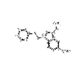 COc1ccc2c(c1)c(CN)cn2CCc1ccccc1